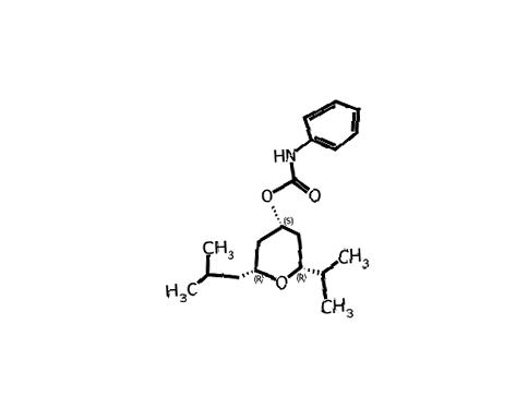 CC(C)C[C@@H]1C[C@H](OC(=O)Nc2ccccc2)C[C@H](C(C)C)O1